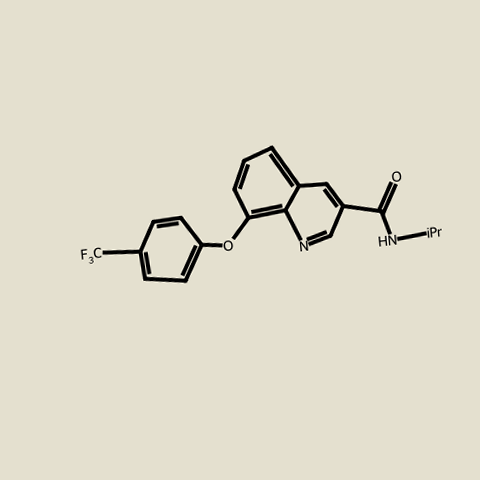 CC(C)NC(=O)c1cnc2c(Oc3ccc(C(F)(F)F)cc3)cccc2c1